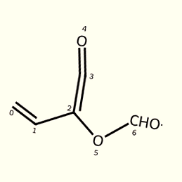 C=CC(=C=O)O[C]=O